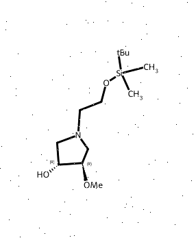 CO[C@@H]1CN(CCO[Si](C)(C)C(C)(C)C)C[C@H]1O